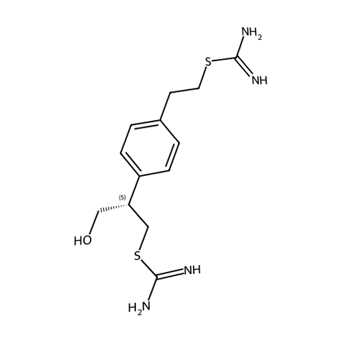 N=C(N)SCCc1ccc([C@@H](CO)CSC(=N)N)cc1